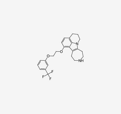 FC(F)(F)c1cccc(OCCOc2ccc3c4c2c2c(n4CCC3)CCNCC2)c1